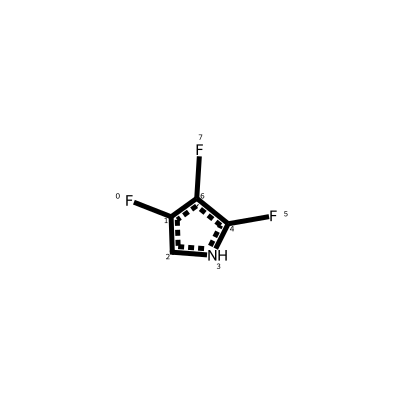 Fc1c[nH]c(F)c1F